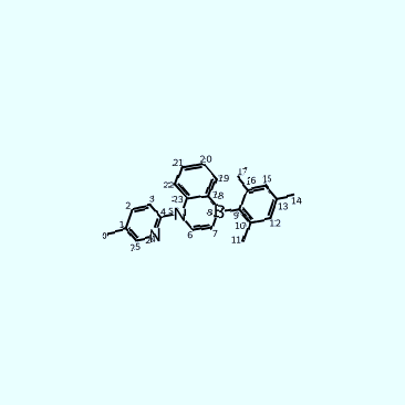 Cc1ccc(N2C=CB(c3c(C)cc(C)cc3C)c3ccccc32)nc1